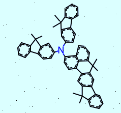 CC1(C)c2ccccc2-c2ccc(N(c3ccc4c(c3)C(C)(C)c3ccccc3-4)c3ccc4c5c(cccc35)C(C)(C)c3cc5c(cc3-4)C(C)(C)c3ccccc3-5)cc21